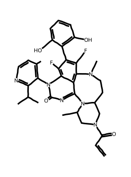 C=CC(=O)N1CC(C)N2c3nc(=O)n(-c4c(C)ccnc4C(C)C)c4c(F)c(-c5c(O)cccc5O)c(F)c(c34)N(C)CCC2C1